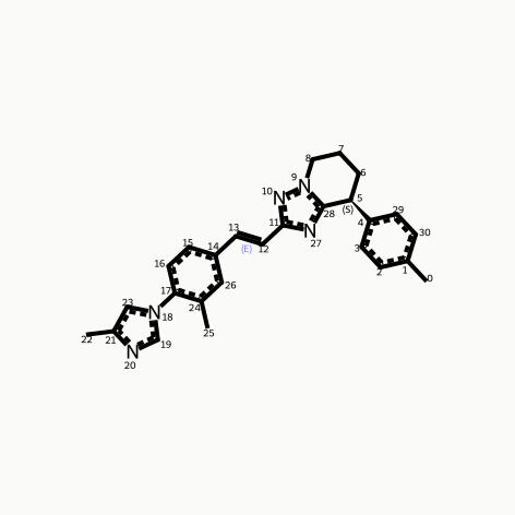 Cc1ccc([C@@H]2CCCn3nc(/C=C/c4ccc(-n5cnc(C)c5)c(C)c4)nc32)cc1